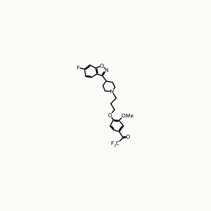 COc1cc(C(=O)C(F)(F)F)ccc1OCCCN1CCC(c2noc3cc(F)ccc23)CC1